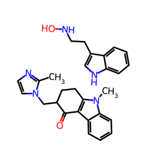 Cc1nccn1CC1CCc2c(c3ccccc3n2C)C1=O.ONCCc1c[nH]c2ccccc12